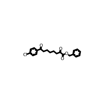 O=C(CCCCCC(=O)c1ccc(Cl)cc1)C(=O)OCc1ccccc1